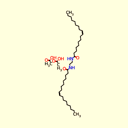 CC(=O)O.CC(=O)O.CCCCCCCC/C=C\CCCCCCCC(=O)NCCNC(=O)CCCCCCC/C=C\CCCCCCCC